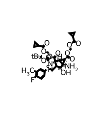 Cc1cc(SCC2[C@@H](O)[C@@]3(N)[C@H](C(=O)OCOC(=O)C4CC4)[C@H]3[C@]2(NC(=O)OC(C)(C)C)C(=O)OCOC(=O)C2CC2)ccc1F